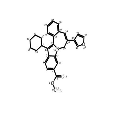 COC(=O)c1ccc2c(C3CCCCC3)c3n(c2c1)CC(c1ccoc1)=Cc1ccccc1-3